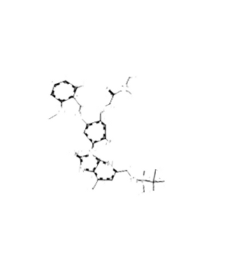 COc1cccc(F)c1COc1cc(-n2c(=O)[nH]c3c(C)cc(CO[Si](C)(C)C(C)(C)C)nc32)c(Cl)cc1OCC(=O)N(C)C